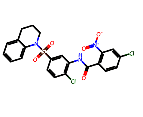 O=C(Nc1cc(S(=O)(=O)N2CCCc3ccccc32)ccc1Cl)c1ccc(Cl)cc1[N+](=O)[O-]